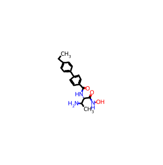 CCc1ccc(-c2ccc(C(=O)N[C@H](C(=O)NO)C(C)N)cc2)cc1